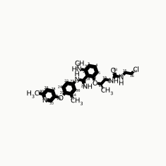 CNc1cccc(O[C@H](C)CNC(=O)NCCCl)c1C(=N)Nc1ccc(Oc2ccc(C)nc2)c(C)c1